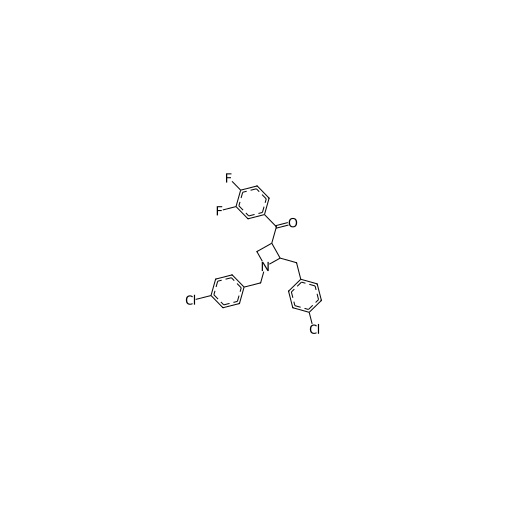 O=C(c1ccc(F)c(F)c1)C1CN(Cc2ccc(Cl)cc2)C1Cc1ccc(Cl)cc1